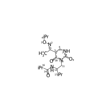 C/C(=N\OC(C)C)c1c[nH]c(=O)n(CC(NC(=O)C(C)C)C(C)C)c1=O